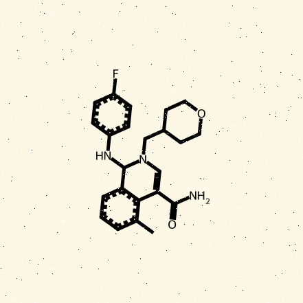 Cc1cccc2c1C(C(N)=O)=CN(CC1CCOCC1)C2Nc1ccc(F)cc1